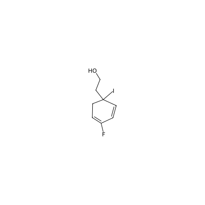 OCCC1(I)C=CC(F)=CC1